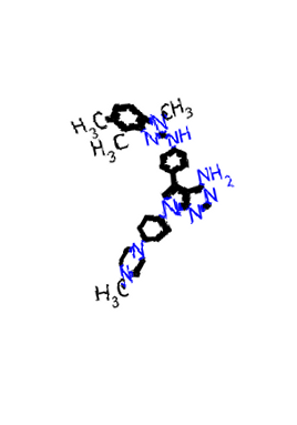 Cc1ccc2c(nc(Nc3ccc(-c4cn(C5CCC(N6CCN(C)CC6)CC5)c5ncnc(N)c45)cc3)n2C)c1C